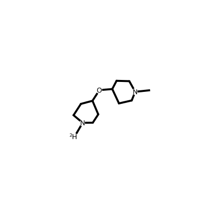 [2H]N1CCC(OC2CCN(C)CC2)CC1